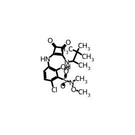 CON(C)S(=O)(=O)c1c(Cl)ccc(Nc2c(NC(C)C(C)(C)C)c(=O)c2=O)c1O